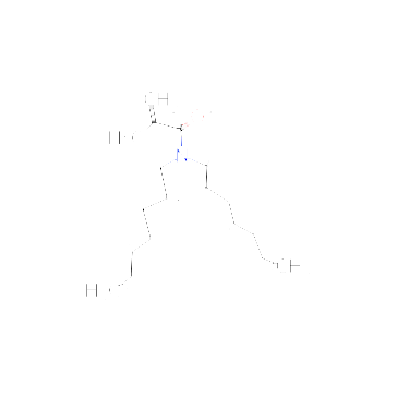 C=C(C)C(=O)N(CCCCCCC)CCCCCCC